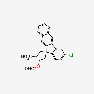 O=COCCC1(CCC(=O)O)c2ccc(Cl)cc2-c2cc3ccccc3cc21